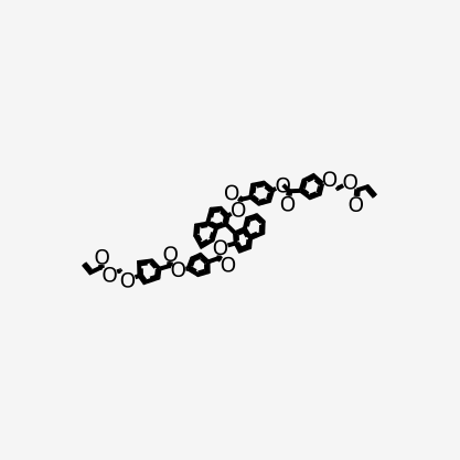 C=CC(=O)OCOc1ccc(C(=O)Oc2ccc(C(=O)Oc3ccc4ccccc4c3-c3c(OC(=O)c4ccc(OC(=O)c5ccc(OCOC(=O)C=C)cc5)cc4)ccc4ccccc34)cc2)cc1